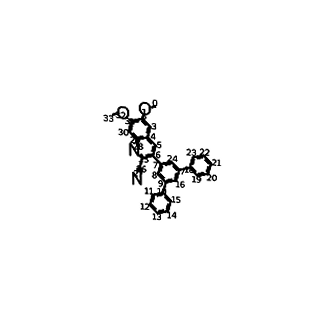 COc1cc2cc(-c3cc(-c4ccccc4)cc(-c4ccccc4)c3)c(C#N)nc2cc1OC